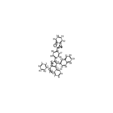 c1ccc(-c2nc3ccccc3c3c(-c4ccc5ccccc5c4)c(-c4ccc(-c5nc6ccccc6o5)cc4)sc23)cc1